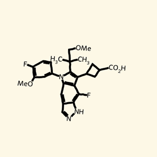 COCC(C)(C)c1c(C2CC(C(=O)O)C2)c2c(F)c3[nH]ncc3cc2n1-c1ccc(F)c(OC)c1